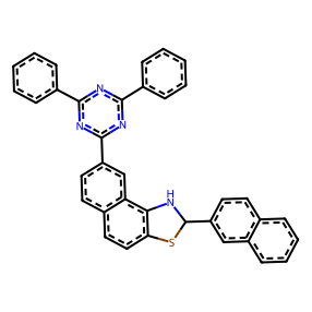 c1ccc(-c2nc(-c3ccccc3)nc(-c3ccc4ccc5c(c4c3)NC(c3ccc4ccccc4c3)S5)n2)cc1